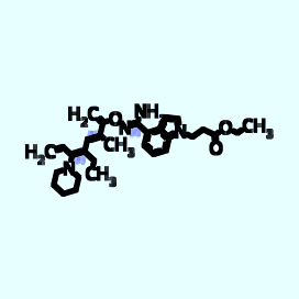 C=C/C(=C(\C=C(/C)C(=C)O/N=C(\N)c1cccc2c1ccn2CCC(=O)OCC)CC)N1CCCCC1